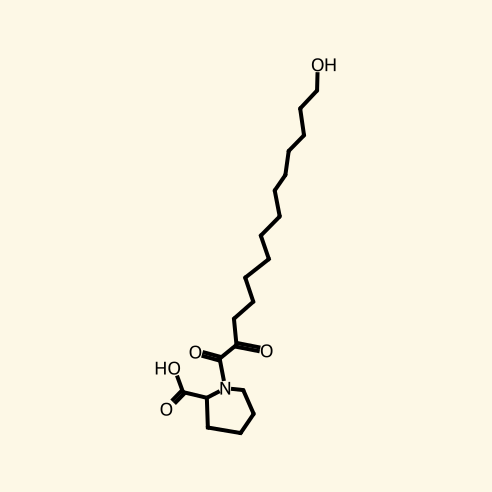 O=C(CCCCCCCCCCCCO)C(=O)N1CCCCC1C(=O)O